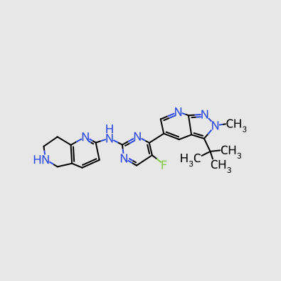 Cn1nc2ncc(-c3nc(Nc4ccc5c(n4)CCNC5)ncc3F)cc2c1C(C)(C)C